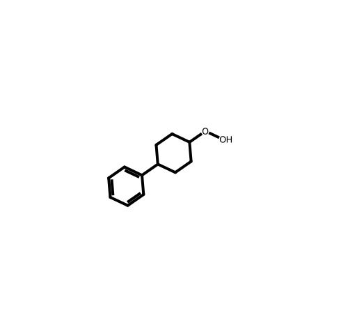 OOC1CCC(c2ccccc2)CC1